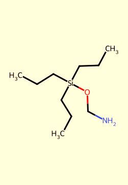 CCC[Si](CCC)(CCC)OCN